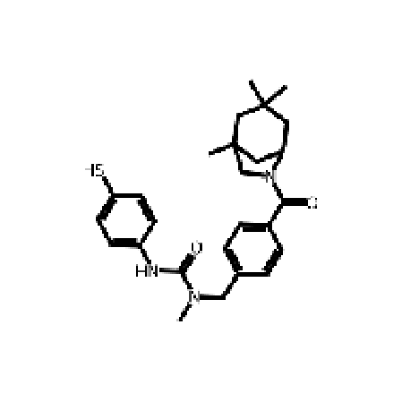 CN(Cc1ccc(C(=O)N2CC3(C)CC2CC(C)(C)C3)cc1)C(=O)Nc1ccc(S)cc1